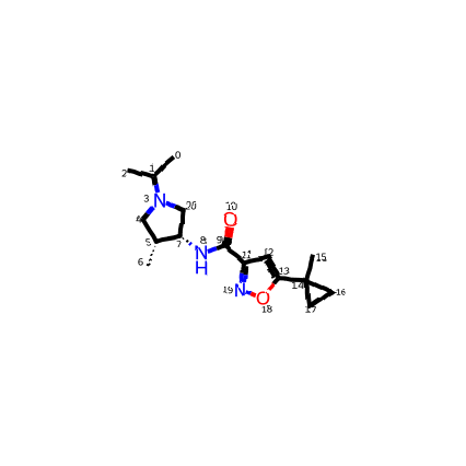 CC(C)N1C[C@@H](C)[C@@H](NC(=O)c2cc(C3(C)CC3)on2)C1